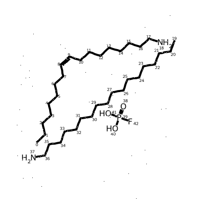 CCCCCCCC/C=C\CCCCCCCCN.CCCCCCCCCCCCCCCCCCN.O=P(O)(O)F